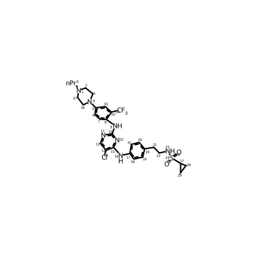 CCCN1CCN(c2ccc(Nc3ncc(Cl)c(Nc4ccc(CCNS(=O)(=O)C5CC5)cc4)n3)c(C(F)(F)F)c2)CC1